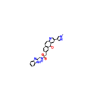 Cn1cc(-c2cnc3ccc4ccc(CS(=O)(=O)NCc5nc6ccccc6[nH]5)cc4c(=O)c3c2)cn1